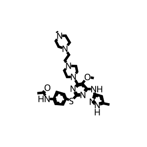 COc1c(Nc2cc(C)[nH]n2)nc(Sc2ccc(NC(C)=O)cc2)nc1N1CCN(CCN2CCN(C)CC2)CC1